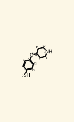 Sc1ccc(OC2CCNCC2)cc1